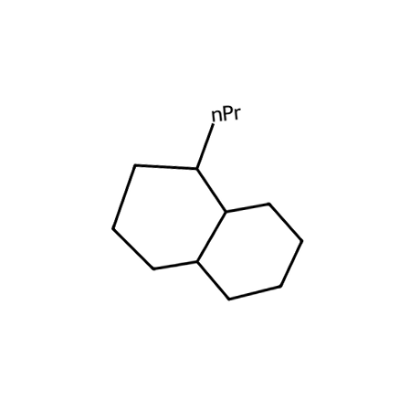 CCCC1CCCC2CCCCC12